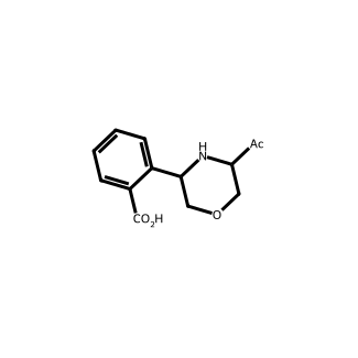 CC(=O)C1COCC(c2ccccc2C(=O)O)N1